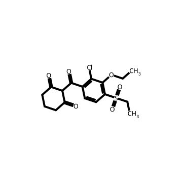 CCOc1c(S(=O)(=O)CC)ccc(C(=O)C2C(=O)CCCC2=O)c1Cl